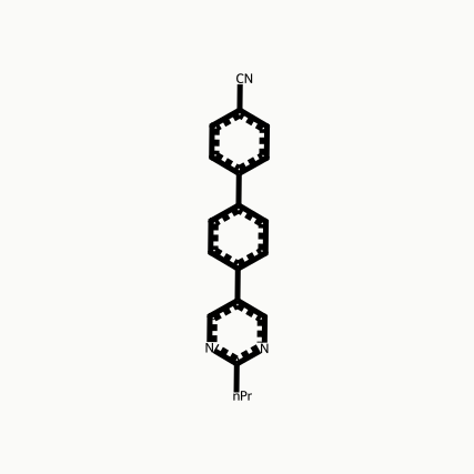 CCCc1ncc(-c2ccc(-c3ccc(C#N)cc3)cc2)cn1